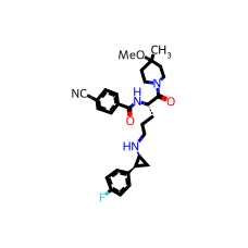 COC1(C)CCN(C(=O)[C@H](CCCN[C@@H]2C[C@H]2c2ccc(F)cc2)NC(=O)c2ccc(C#N)cc2)CC1